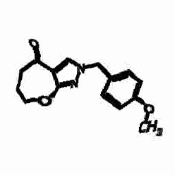 COc1ccc(Cn2cc3c(n2)OCCCC3=O)cc1